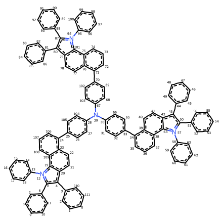 c1ccc(-c2c(-c3ccccc3)n(-c3ccccc3)c3c2ccc2c(-c4ccc(N(c5ccc(-c6cccc7c6ccc6c(-c8ccccc8)c(-c8ccccc8)n(-c8ccccc8)c67)cc5)c5ccc(-c6cccc7c6ccc6c(-c8ccccc8)c(-c8ccccc8)n(-c8ccccc8)c67)cc5)cc4)cccc23)cc1